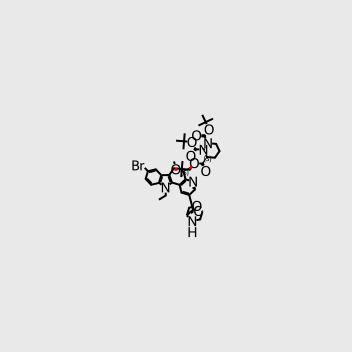 CCn1c(-c2cc(C3=CC4COC(CN4)C3)cnc2[C@H](C)OC)c(CC(C)(C)COC(=O)[C@@H]2CCCN(C(=O)OC(C)(C)C)N2C(=O)OC(C)(C)C)c2cc(Br)ccc21